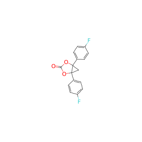 O=C1OC2(c3ccc(F)cc3)CC2(c2ccc(F)cc2)O1